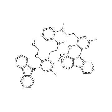 COCOc1c(CCN(C)c2ccccc2N(C)CCc2cc(C)cc(-n3c4ccccc4c4ccccc43)c2OCOC)cc(C)cc1-n1c2ccccc2c2ccccc21